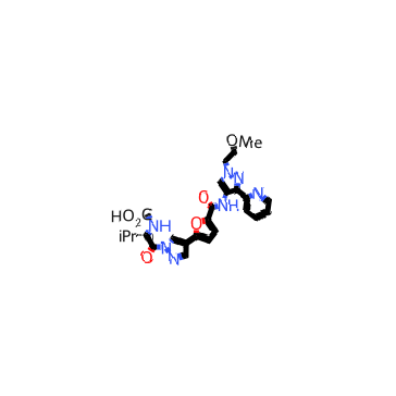 COCCn1cc(NC(=O)c2ccc(-c3cnn(C(=O)[C@@H](NC(=O)O)C(C)C)c3)o2)c(-c2ccccn2)n1